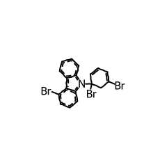 BrC1=CC=CC(Br)(n2c3ccccc3c3c(Br)cccc32)C1